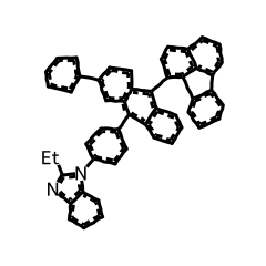 CCc1nc2ccccc2n1-c1ccc(-c2c3ccccc3c(-c3ccc4cccc5c4c3-c3ccccc3-5)c3ccc(-c4ccccc4)cc23)cc1